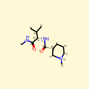 CNC(=O)[C@@H](NC(=O)[C@@H]1CCCN(C)C1)C(C)C